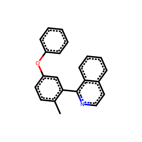 Cc1ccc(Oc2ccccc2)cc1-c1nccc2ccccc12